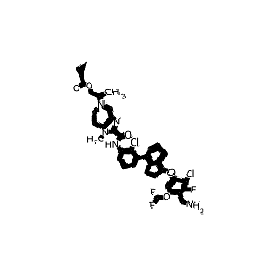 CC(COC(=O)C1CC1)N1CCc2c(nc(C(=O)Nc3cccc(-c4cccc5c4CCC5Oc4cc(OC(F)F)c(CN)c(F)c4Cl)c3Cl)n2C)C1